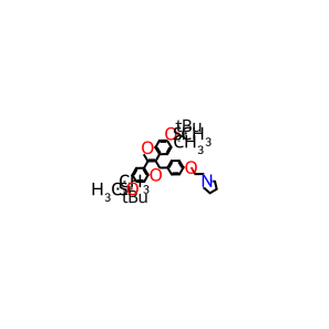 CC(C)(C)[Si](C)(C)Oc1ccc2c(c1)OC(c1ccc(OCCN3CCCC3)cc1)C1=C2COc2cc(O[Si](C)(C)C(C)(C)C)ccc21